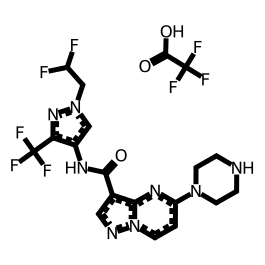 O=C(Nc1cn(CC(F)F)nc1C(F)(F)F)c1cnn2ccc(N3CCNCC3)nc12.O=C(O)C(F)(F)F